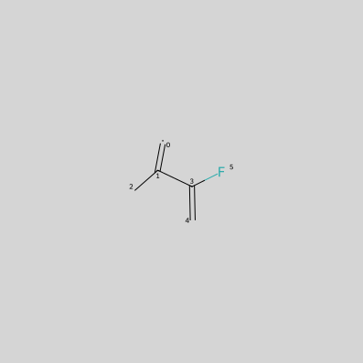 [CH]=C(C)C(=C)F